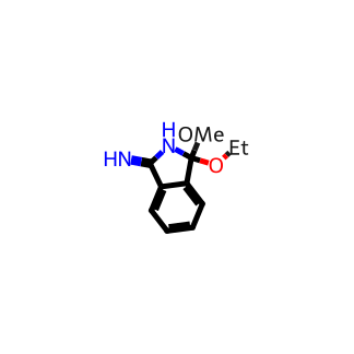 CCOC1(OC)NC(=N)c2ccccc21